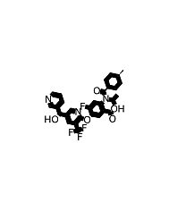 CC(C)N(c1cc(F)c(Oc2ncc(C(O)c3cccnc3)cc2C(F)(F)F)cc1C(=O)O)C(=O)[C@H]1CC[C@H](C)CC1